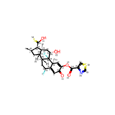 C[C@@H]1C[C@H]2[C@H]3C[C@H](F)C4=CC(=O)C(OC(=O)c5cscn5)=C[C@]4(C)[C@@]3(F)[C@@H](O)C[C@]2(C)[C@@H]1C(O)=S